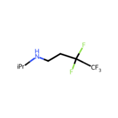 CC(C)NCCC(F)(F)C(F)(F)F